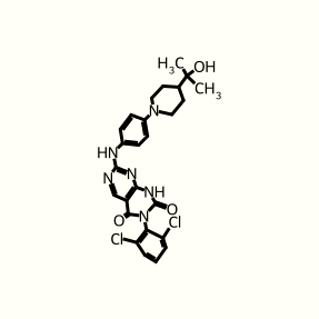 CC(C)(O)C1CCN(c2ccc(Nc3ncc4c(=O)n(-c5c(Cl)cccc5Cl)c(=O)[nH]c4n3)cc2)CC1